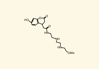 COCCNCCNCCNC(=O)CC1CC(=O)Oc2cc(O)ccc21